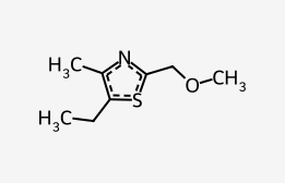 CCc1sc(COC)nc1C